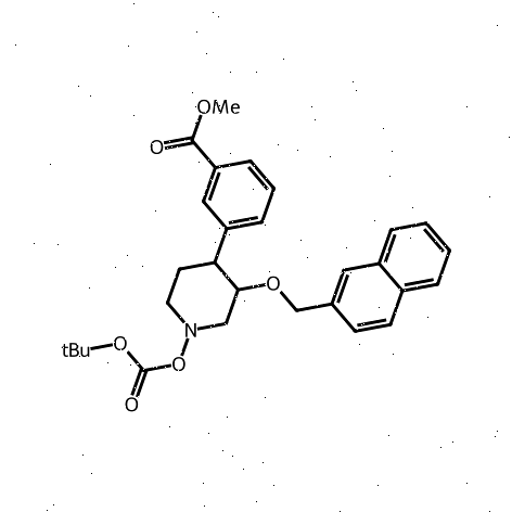 COC(=O)c1cccc(C2CCN(OC(=O)OC(C)(C)C)CC2OCc2ccc3ccccc3c2)c1